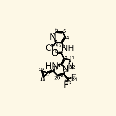 O=C(Nc1cccnc1Cl)c1cnn2c1NC(=C1C=C1)C=C2C(F)F